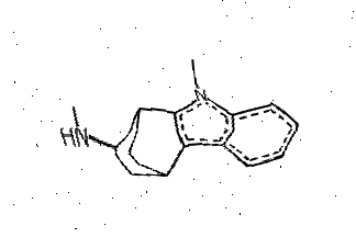 CNC1CC2CCC1c1c2c2ccccc2n1C